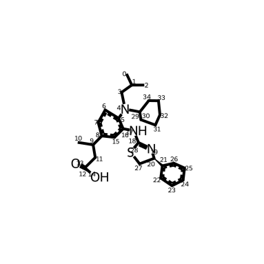 CC(C)CN(c1ccc(C(C)CC(=O)O)cc1NC1=N[C@@H](c2ccccc2)CS1)C1CCCCC1